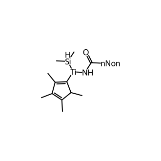 CCCCCCCCCC(=O)[NH][Ti]([C]1=C(C)C(C)=C(C)C1C)[SiH](C)C